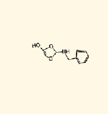 OC1=COC(NCc2ccccc2)O1